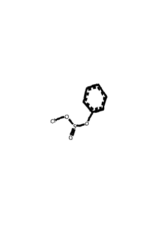 O=S(OCl)Oc1ccccc1